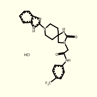 Cl.O=C(CN1CC2(CCN(c3nc4ccccc4[nH]3)CC2)NC1=O)Nc1ccc(C(F)(F)F)cc1